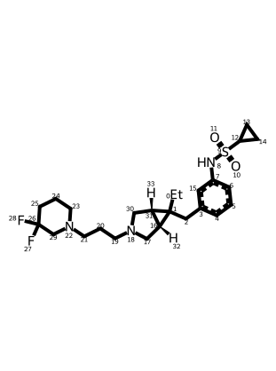 CCC1(Cc2cccc(NS(=O)(=O)C3CC3)c2)[C@@H]2CN(CCCN3CCCC(F)(F)C3)C[C@@H]21